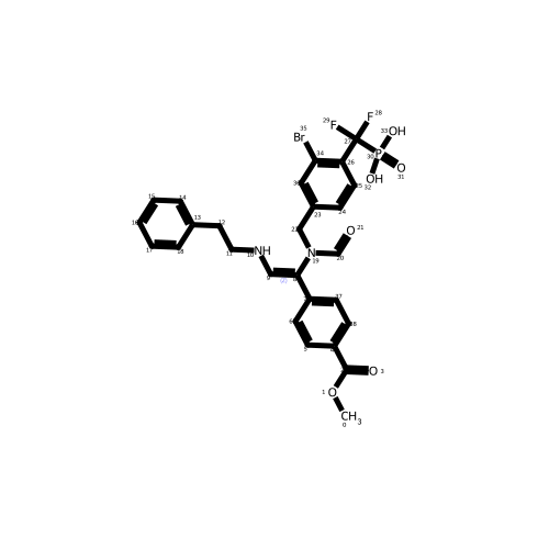 COC(=O)c1ccc(/C(=C/NCCc2ccccc2)N(C=O)Cc2ccc(C(F)(F)P(=O)(O)O)c(Br)c2)cc1